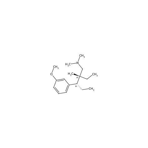 CC[C@H](c1cccc(OC)c1)[C@@](C)(CC)CN(C)C